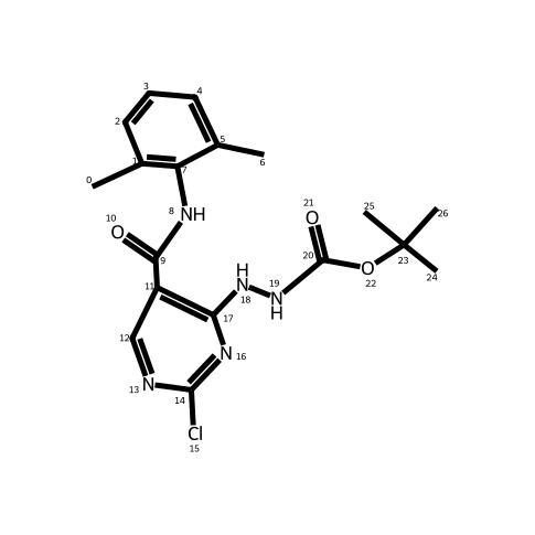 Cc1cccc(C)c1NC(=O)c1cnc(Cl)nc1NNC(=O)OC(C)(C)C